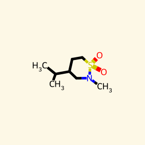 CC(C)C1CCS(=O)(=O)N(C)C1